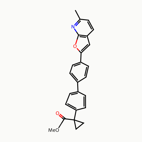 COC(=O)C1(c2ccc(-c3ccc(-c4cc5ccc(C)nc5o4)cc3)cc2)CC1